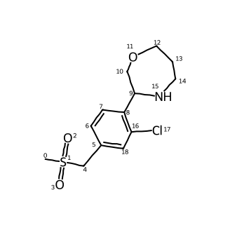 CS(=O)(=O)Cc1ccc(C2COCCCN2)c(Cl)c1